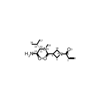 C=CC(=O)N1CC(C(=O)N(C)[C@H](C(N)=O)C(C)C)C1